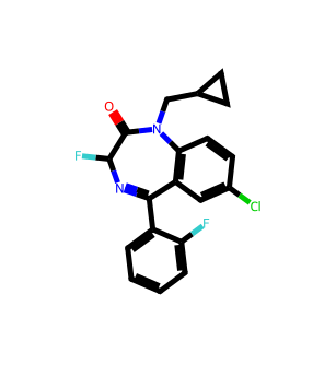 O=C1C(F)N=C(c2ccccc2F)c2cc(Cl)ccc2N1CC1CC1